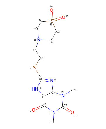 CN1C(=O)C2NC(SCCN3CCS(=O)(=O)CC3)=NC2N(C)C1=O